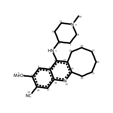 COc1cc2c(NC3CCN(C)CC3)c3c(nc2cc1C#N)CCCCCC3